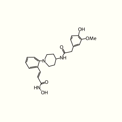 COc1cc(CC(=O)NC2CCN(c3ccccc3C=CC(=O)NO)CC2)ccc1O